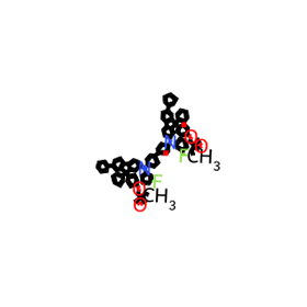 CCC1(COc2ccc(C3(c4ccccc4)c4cc(-c5ccccc5)ccc4-c4ccc(N(c5ccc(-c6ccc(N(c7cccc(F)c7)c7ccc8c(c7)C(c7ccccc7)(c7ccc(OCC9(CC)COC9)cc7)c7cc(-c9ccccc9)ccc7-8)cc6)cc5)c5cccc(F)c5)cc43)cc2)COC1